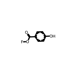 O=C(OF)c1ccc(O)cc1